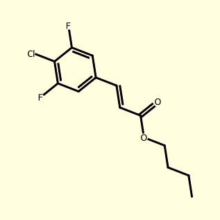 CCCCOC(=O)C=Cc1cc(F)c(Cl)c(F)c1